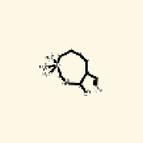 C=CC1CCCC[SH](C)(C)(C)CPC1CCC